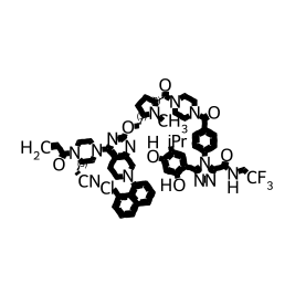 C=CC(=O)N1CCN(c2nc(OC[C@@H]3CC[C@H](C(=O)N4CCN(C(=O)c5ccc(-n6c(C(=O)NCC(F)(F)F)nnc6-c6cc(C(C)C)c(O)cc6O)cc5)CC4)N3C)nc3c2CCN(c2cccc4cccc(Cl)c24)C3)C[C@@H]1CC#N